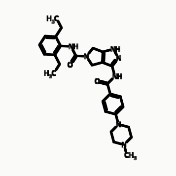 CCc1cccc(CC)c1NC(=O)N1Cc2[nH]nc(NC(=O)c3ccc(N4CCN(C)CC4)cc3)c2C1